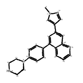 Cn1cc(-c2cc(-c3ccc(N4CCNCC4)cc3)c3cccnc3c2)cn1